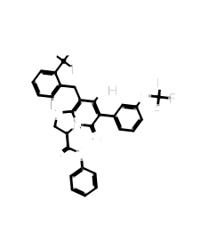 Cc1c(Cc2c(F)cccc2C(F)(F)F)c2n(c(=O)c1-c1cccc(OC(F)(F)F)c1)C(C(=O)Sc1ccccc1)CS2